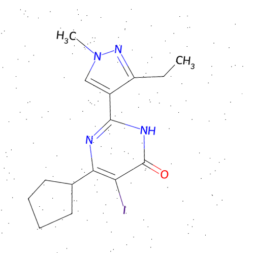 CCc1nn(C)cc1-c1nc(C2CCCC2)c(I)c(=O)[nH]1